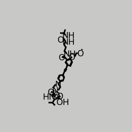 COCCOc1ccc(C#Cc2ccc(N3CCN(S(=O)(=O)NC(C(=O)O)C(C)C)CC3)cc2)cc1C(=O)NCCCNC(=O)NC(C)C